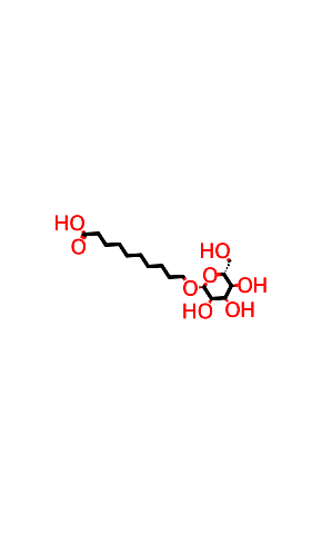 O=C(O)CCCCCCCCCO[C@@H]1O[C@H](CO)[C@@H](O)[C@H](O)[C@H]1O